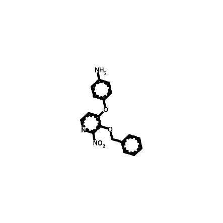 Nc1ccc(Oc2ccnc([N+](=O)[O-])c2OCc2ccccc2)cc1